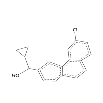 OC(c1ccc2ccc3ccc(Cl)cc3c2c1)C1CC1